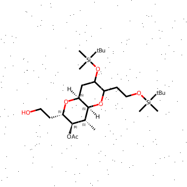 CC(=O)O[C@@H]1[C@@H](C)[C@@H]2OC(CCO[Si](C)(C)C(C)(C)C)C(O[Si](C)(C)C(C)(C)C)C[C@@H]2O[C@H]1CCO